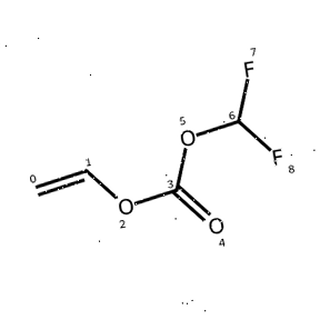 C=COC(=O)OC(F)F